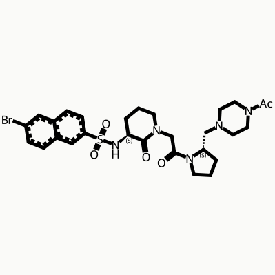 CC(=O)N1CCN(C[C@@H]2CCCN2C(=O)CN2CCC[C@H](NS(=O)(=O)c3ccc4cc(Br)ccc4c3)C2=O)CC1